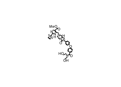 COC(=O)C1=C(CN2CCN3C(=O)N(c4ccc(Oc5ccc(C(=O)N(CCO)CCO)cc5)cc4)C[C@@H]3C2)NC(c2nccs2)=NC1